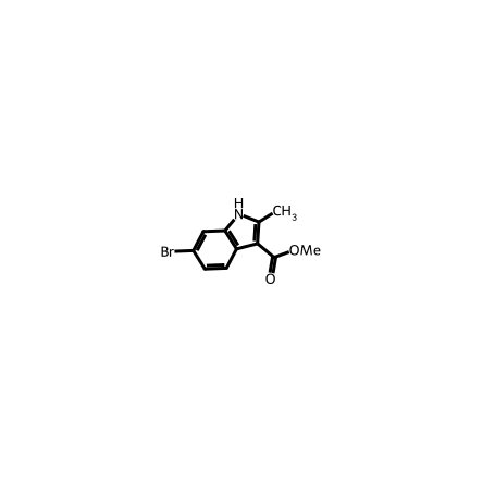 COC(=O)c1c(C)[nH]c2cc(Br)ccc12